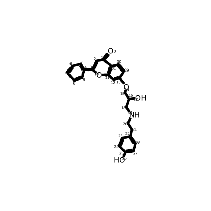 O=c1cc(-c2ccccc2)oc2cc(OCC(O)CNCCc3ccc(O)cc3)ccc12